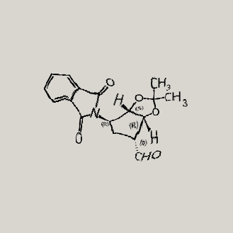 CC1(C)O[C@@H]2[C@H](O1)[C@H](C=O)C[C@H]2N1C(=O)c2ccccc2C1=O